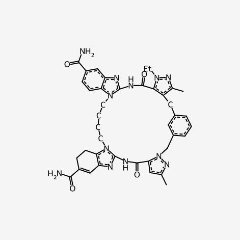 CCn1nc(C)c2c1C(=O)Nc1nc3cc(C(N)=O)ccc3n1CCCCn1c(nc3c1CCC(C(N)=O)=C3)NC(=O)c1cc(C)nn1Cc1cccc(c1)C2